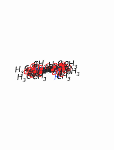 CC(=O)OC[C@H]1O[C@@H](OC(C)=O)[C@H](NC(=O)C2C(=O)c3ccc(C(=O)c4ccc5c(c4)C(=O)C(C(=O)N[C@H]4[C@H](OC(C)=O)O[C@H](COC(C)=O)[C@@H](OC(C)=O)[C@@H]4OC(C)=O)C5=O)cc3C2=O)[C@@H](OC(C)=O)[C@@H]1OC(C)=O